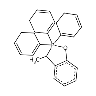 CC1c2ccccc2OP1(C1=CC=CCC1)(C1=CC=CCC1)C1=CC=CCC1